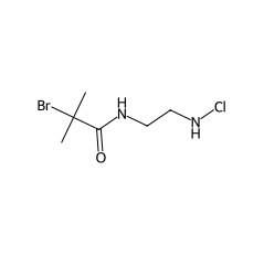 CC(C)(Br)C(=O)NCCNCl